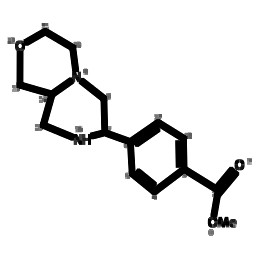 COC(=O)c1ccc(C2CN3CCOCC3CN2)cc1